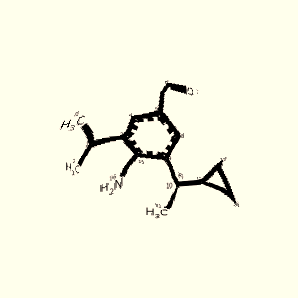 CC(C)c1cc(C=O)cc([C@H](C)C2CC2)c1N